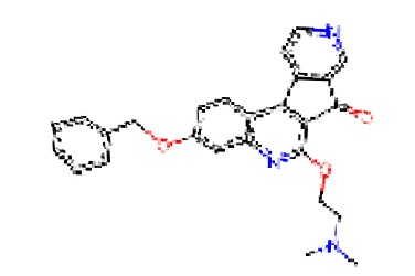 CN(C)CCOc1nc2cc(OCc3ccccc3)ccc2c2c1C(=O)c1cnccc1-2